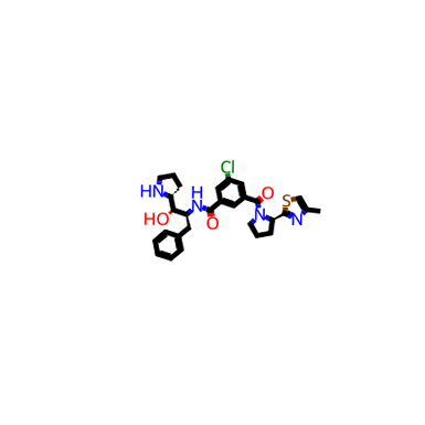 Cc1csc([C@H]2CCCN2C(=O)c2cc(Cl)cc(C(=O)N[C@@H](Cc3ccccc3)[C@@H](O)[C@H]3CCCN3)c2)n1